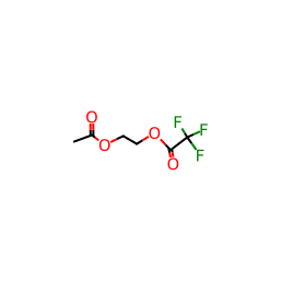 CC(=O)OCCOC(=O)C(F)(F)F